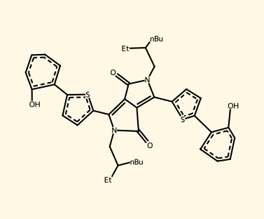 CCCCC(CC)CN1C(=O)C2=C(c3ccc(-c4ccccc4O)s3)N(CC(CC)CCCC)C(=O)C2=C1c1ccc(-c2ccccc2O)s1